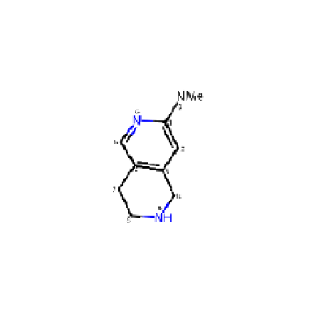 CNc1cc2c(cn1)CCNC2